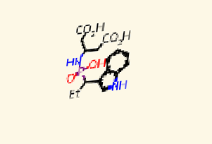 CCC(c1c[nH]c2ccccc12)P(=O)(O)NC(CC(=O)O)CC(=O)O